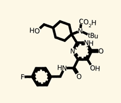 CC(C)(C)N(C(=O)O)C1(c2nc(C(=O)NCc3ccc(F)cc3)c(O)c(=O)[nH]2)CCC(CO)CC1